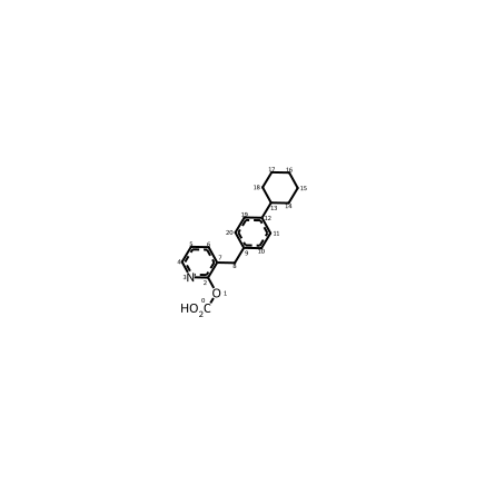 O=C(O)Oc1ncccc1Cc1ccc(C2CCCCC2)cc1